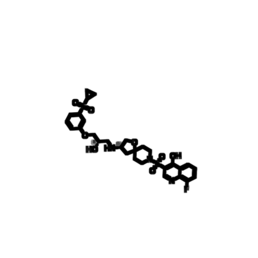 O=S(=O)(c1cccc(OC[C@@H](O)CN[C@H]2COC3(CCN(S(=O)(=O)c4cnc5c(F)cccc5c4O)CC3)C2)c1)C1CC1